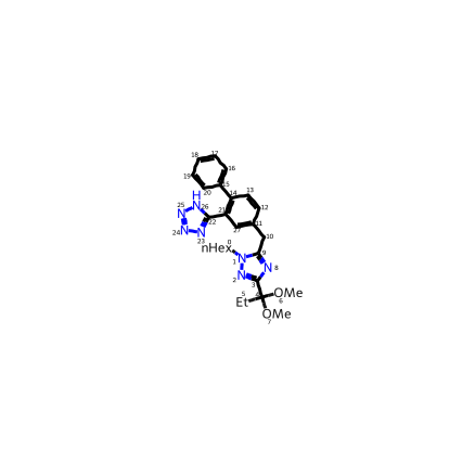 CCCCCCn1nc(C(CC)(OC)OC)nc1Cc1ccc(-c2ccccc2)c(-c2nnn[nH]2)c1